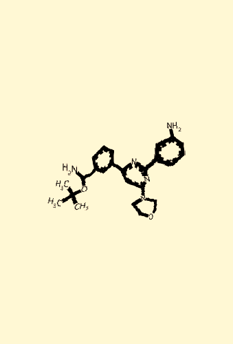 CC(C)(C)OC(N)c1cccc(-c2cc(N3CCOCC3)nc(-c3cccc(N)c3)n2)c1